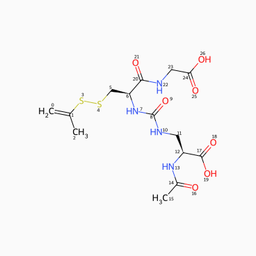 C=C(C)SSC[C@H](NC(=O)NC[C@H](NC(C)=O)C(=O)O)C(=O)NCC(=O)O